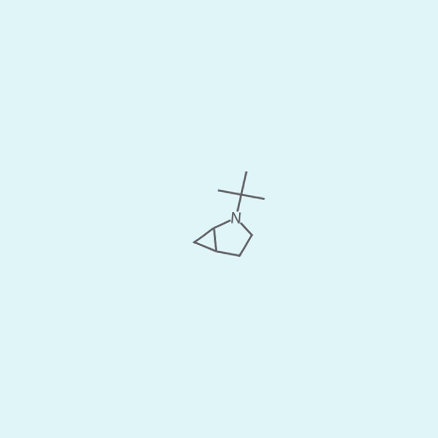 CC(C)(C)N1CCC2CC21